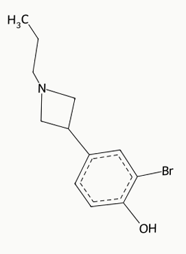 CCCN1CC(c2ccc(O)c(Br)c2)C1